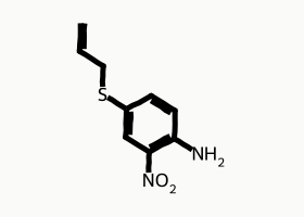 C=CCSc1ccc(N)c([N+](=O)[O-])c1